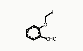 O=Cc1ccccc1OCI